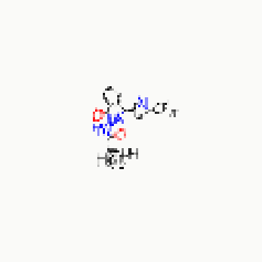 O=C(C[C@H]1C[C@@H]2CC[C@H]1C2)Nn1nc(-c2ccc(C(F)(F)F)nc2)c2ccccc2c1=O